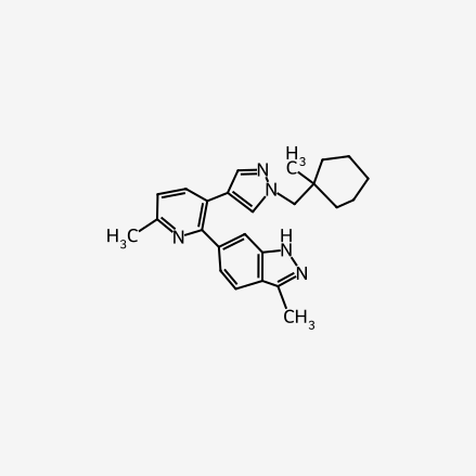 Cc1ccc(-c2cnn(CC3(C)CCCCC3)c2)c(-c2ccc3c(C)n[nH]c3c2)n1